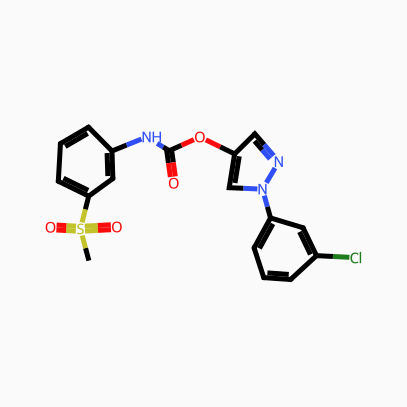 CS(=O)(=O)c1cccc(NC(=O)Oc2cnn(-c3cccc(Cl)c3)c2)c1